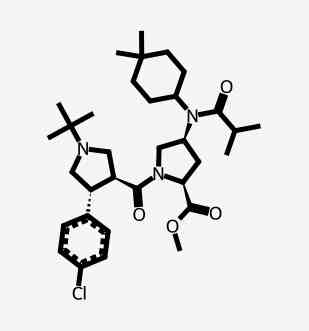 COC(=O)[C@@H]1C[C@H](N(C(=O)C(C)C)C2CCC(C)(C)CC2)CN1C(=O)[C@@H]1CN(C(C)(C)C)C[C@H]1c1ccc(Cl)cc1